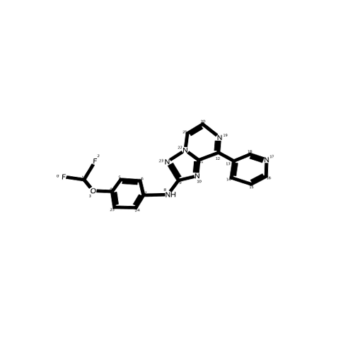 FC(F)Oc1ccc(Nc2nc3c(-c4cccnc4)nccn3n2)cc1